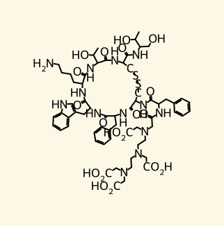 CC(O)C(CO)NC(=O)C1CSSCC(NC(=O)C(Cc2ccccc2)NC(=O)CN(CCN(CCN(CC(=O)O)CC(=O)O)CC(=O)O)CC(=O)O)C(=O)NC(Cc2ccccc2)C(=O)NC(Cc2c[nH]c3ccccc23)C(=O)NC(CCCCN)C(=O)NC(C(C)O)C(=O)N1